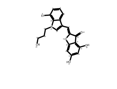 CCc1cccc2c(C=C3Oc4cc(O)cc(O)c4C3=O)cn(CCCC#N)c12